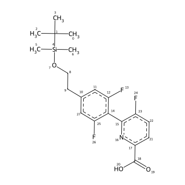 CC(C)(C)[Si](C)(C)OCCc1cc(F)c(-c2nc(C(=O)O)ccc2F)c(F)c1